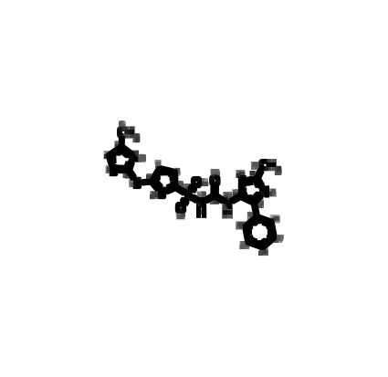 Cc1csc(Sc2ccc(S(=O)(=O)NC(=O)Nc3sc(C)nc3-c3ccccc3)s2)n1